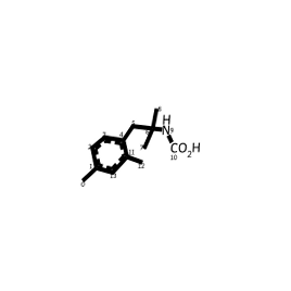 Cc1ccc(CC(C)(C)NC(=O)O)c(C)c1